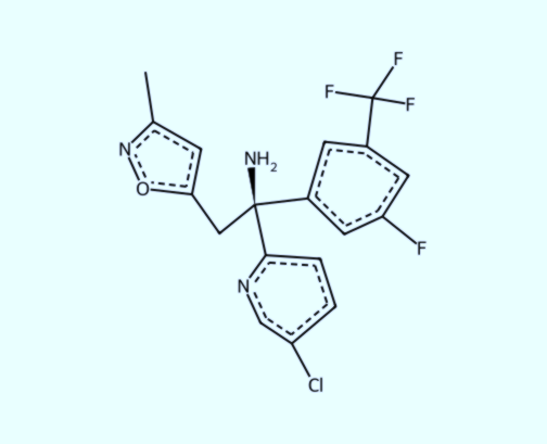 Cc1cc(C[C@](N)(c2cc(F)cc(C(F)(F)F)c2)c2ccc(Cl)cn2)on1